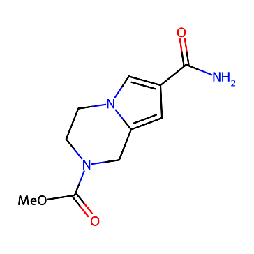 COC(=O)N1CCn2cc(C(N)=O)cc2C1